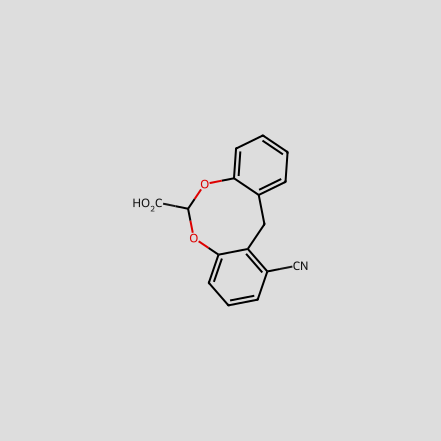 N#Cc1cccc2c1Cc1ccccc1OC(C(=O)O)O2